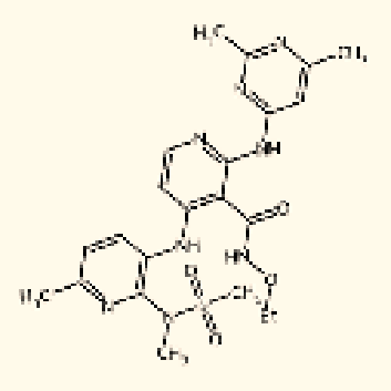 CCONC(=O)c1c(Nc2ccc(C)nc2N(C)S(C)(=O)=O)ccnc1Nc1cc(C)nc(C)n1